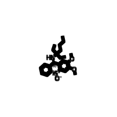 CCCCC(CC)(CC)N[C@H](c1ccccc1)c1cc(OC)c(OC)cc1[S+]([O-])I